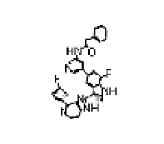 O=C(Cc1ccccc1)Nc1cncc(-c2cc(F)c3[nH]nc(-c4nc5c(-c6ccc(F)s6)nccc5[nH]4)c3c2)c1